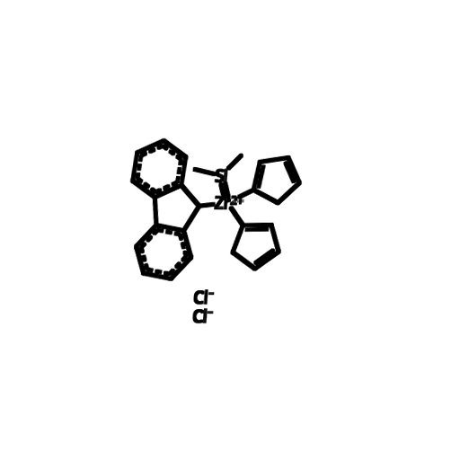 C[Si](C)=[Zr+2]([C]1=CC=CC1)([C]1=CC=CC1)[CH]1c2ccccc2-c2ccccc21.[Cl-].[Cl-]